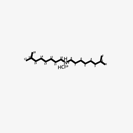 CC(C)CCCCCCNCCCCCCC(C)C.Cl